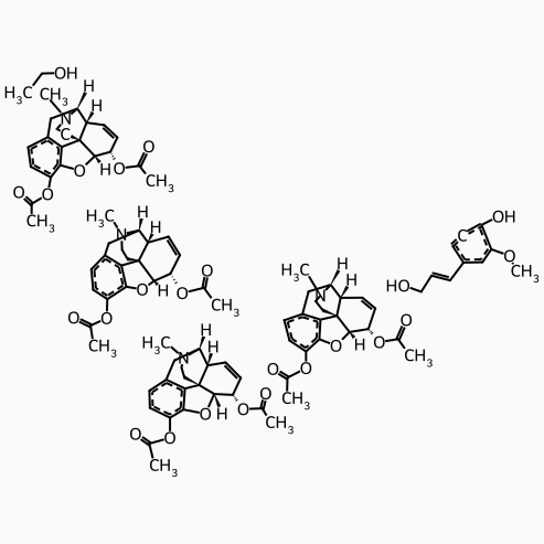 CC(=O)Oc1ccc2c3c1O[C@H]1[C@@H](OC(C)=O)C=C[C@H]4[C@@H](C2)N(C)CC[C@@]341.CC(=O)Oc1ccc2c3c1O[C@H]1[C@@H](OC(C)=O)C=C[C@H]4[C@@H](C2)N(C)CC[C@@]341.CC(=O)Oc1ccc2c3c1O[C@H]1[C@@H](OC(C)=O)C=C[C@H]4[C@@H](C2)N(C)CC[C@@]341.CC(=O)Oc1ccc2c3c1O[C@H]1[C@@H](OC(C)=O)C=C[C@H]4[C@@H](C2)N(C)CC[C@@]341.CCO.COc1cc(/C=C/CO)ccc1O